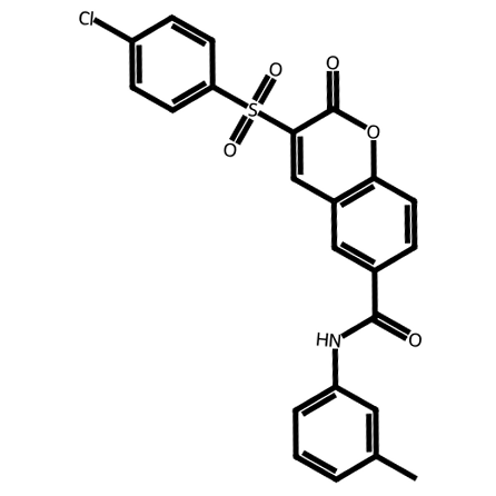 Cc1cccc(NC(=O)c2ccc3oc(=O)c(S(=O)(=O)c4ccc(Cl)cc4)cc3c2)c1